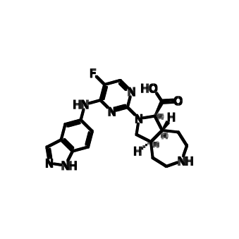 O=C(O)[C@H]1[C@@H]2CCNCC[C@H]2CN1c1ncc(F)c(Nc2ccc3[nH]ncc3c2)n1